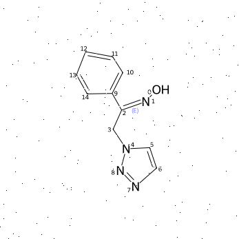 O/N=C(/Cn1ccnn1)c1ccccc1